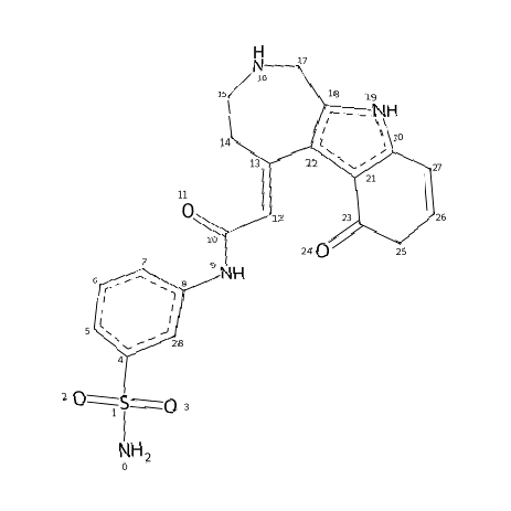 NS(=O)(=O)c1cccc(NC(=O)C=C2CCNCc3[nH]c4c(c32)C(=O)CC=C4)c1